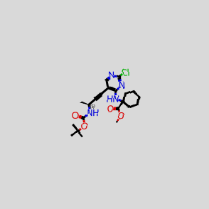 COC(=O)C1(Nc2nc(Cl)ncc2C#C[C@H](C)NC(=O)OC(C)(C)C)CCCCC1